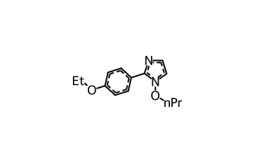 CCCOn1ccnc1-c1ccc(OCC)cc1